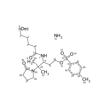 CCCCCCCCCCCCCCC(=O)NC(CCOS(=O)(=O)c1ccc(C)cc1)C(C)(C)N1CCCC1=O.N